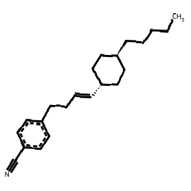 CCCCC[C@H]1CC[C@H](C=CCCc2ccc(C#N)cc2)CC1